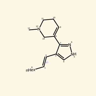 CCCCCC/C=C/c1c[nH]nc1C1=CCCN(C)C1